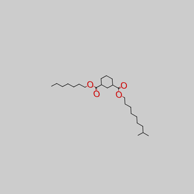 CCCCCCCOC(=O)C1CCCC(C(=O)OCCCCCCCC(C)C)C1